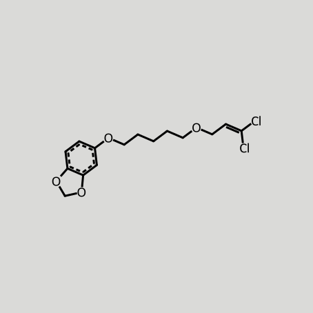 ClC(Cl)=CCOCCCCCOc1ccc2c(c1)OCO2